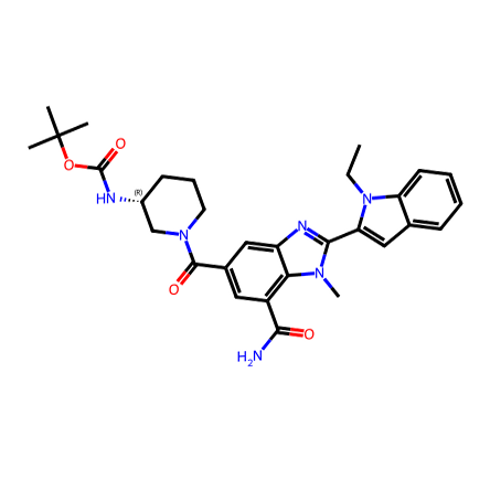 CCn1c(-c2nc3cc(C(=O)N4CCC[C@@H](NC(=O)OC(C)(C)C)C4)cc(C(N)=O)c3n2C)cc2ccccc21